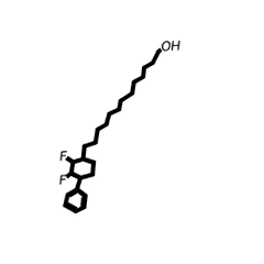 OCCCCCCCCCCCCCC1CCC(c2ccccc2)C(F)C1F